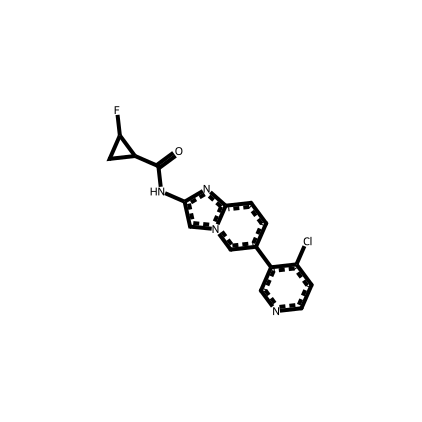 O=C(Nc1cn2cc(-c3cnccc3Cl)ccc2n1)C1CC1F